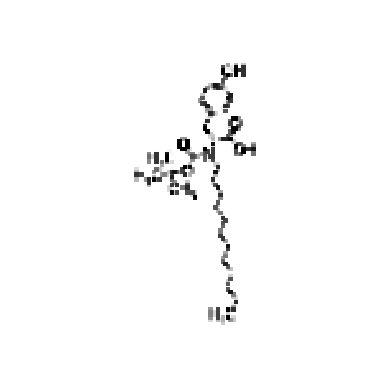 CCCCCCCCCCCCN(C(=O)OC(C)(C)C)[C@@H](Cc1ccc(O)cc1)C(=O)O